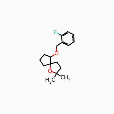 CC1(C)CCC2(CCCC2OCc2ccccc2F)O1